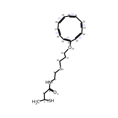 CC(S)CC(=O)NCCSCCCOC1=C/C=C\C=C/C=C\C=C/C=C\1